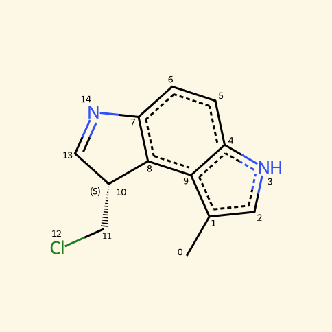 Cc1c[nH]c2ccc3c(c12)[C@H](CCl)C=N3